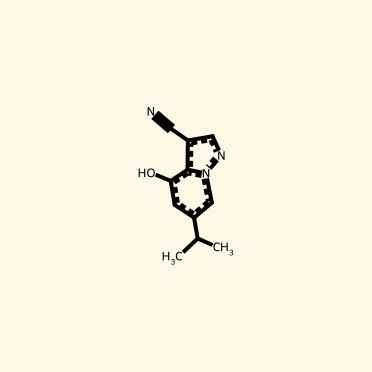 CC(C)c1cc(O)c2c(C#N)cnn2c1